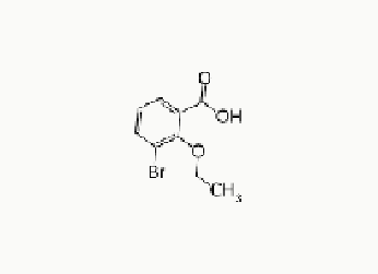 CCOc1c(Br)cccc1C(=O)O